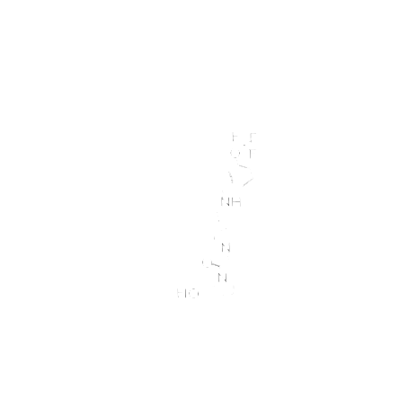 O=C(CN1CC2C(CNCc3cccc(OC(F)(F)F)c3)C2C1)N1CCCC1CO